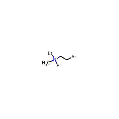 CC[N+](C)(CC)CCC(C)=O